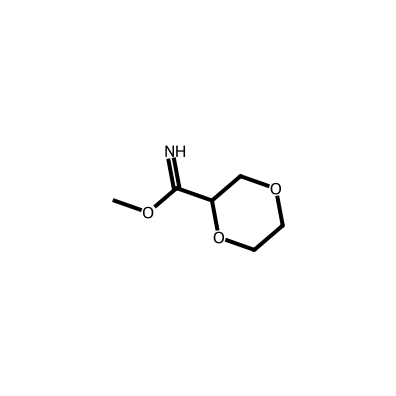 COC(=N)C1COCCO1